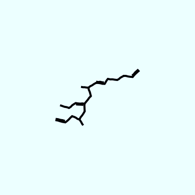 C=CCCCC=CC(C)CC(=CCC)CC(C)CC=C